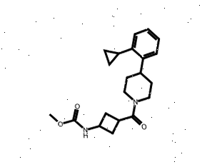 COC(=O)NC1CC(C(=O)N2CCC(c3ccccc3C3CC3)CC2)C1